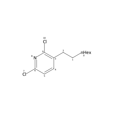 CCCCCCCCc1ccc(Cl)nc1Cl